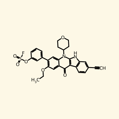 C#Cc1ccc2c(c1)[nH]c1c2c(=O)c2cc(OCC)c(-c3cccc(OS(=O)(=O)F)c3)cc2n1C1CCOCC1